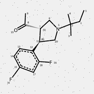 CCC(C)(C)N1C[C@@H](C(C)=O)[C@H](c2ccc(F)cc2F)C1